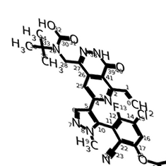 C=Cc1nc(-c2cnn(C)c2-c2c(F)c(Cl)cc(OC3CC3)c2C#N)cc2c(CN(C(=O)O)C(C)(C)C)n[nH]c(=O)c12